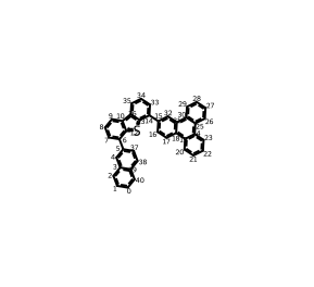 c1ccc2cc(-c3cccc4c3sc3c(-c5ccc6c7ccccc7c7ccccc7c6c5)cccc34)ccc2c1